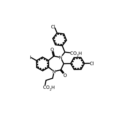 O=C(O)CCN1C(=O)C(c2ccc(Cl)cc2)N(C(C(=O)O)c2ccc(Cl)cc2)C(=O)c2cc(I)ccc21